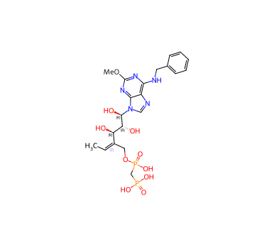 C/C=C(/COP(=O)(O)CP(=O)(O)O)[C@@H](O)[C@@H](O)[C@@H](O)n1cnc2c(NCc3ccccc3)nc(OC)nc21